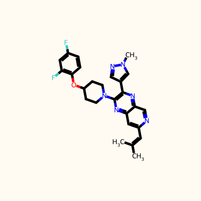 CC(C)=Cc1cc2nc(N3CCC(Oc4ccc(F)cc4F)CC3)c(-c3cnn(C)c3)nc2cn1